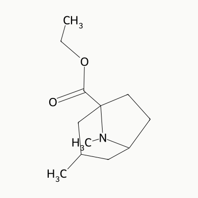 CCOC(=O)C12CCC(CC(C)C1)N2C